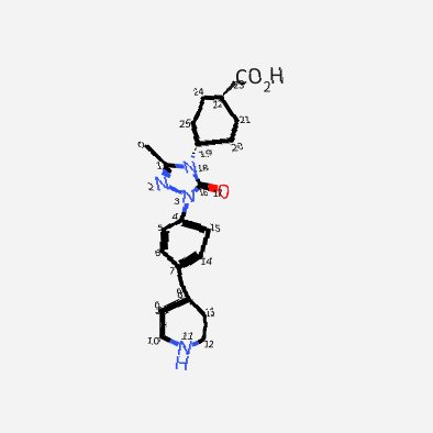 Cc1nn(-c2ccc(C3CCNCC3)cc2)c(=O)n1[C@H]1CC[C@H](C(=O)O)CC1